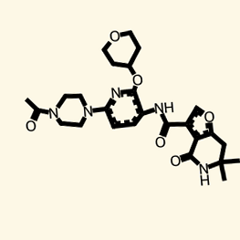 CC(=O)N1CCN(c2ccc(NC(=O)c3coc4c3C(=O)NC(C)(C)C4)c(OC3CCOCC3)n2)CC1